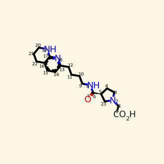 O=C(O)CN1CC[C@H](C(=O)NCCCCc2ccc3c(n2)NCCC3)C1